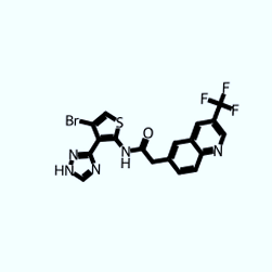 O=C(Cc1ccc2ncc(C(F)(F)F)cc2c1)Nc1scc(Br)c1-c1nc[nH]n1